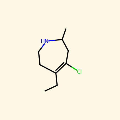 CCC1=C(Cl)CC(C)NCC1